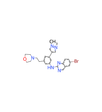 Cn1cc(-c2cc(CCN3CCOCC3)cc(Nc3ncc4cc(Br)ccc4n3)c2)cn1